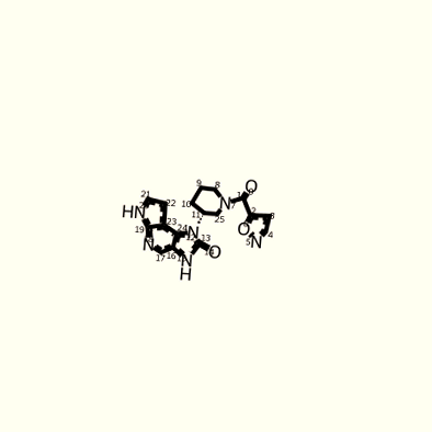 O=C(c1ccno1)N1CCC[C@@H](n2c(=O)[nH]c3cnc4[nH]ccc4c32)C1